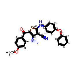 COc1ccc(C(=O)c2sc(Nc3ccc(Oc4ccccc4)cc3)c(C#N)c2N)cc1